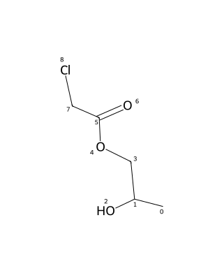 CC(O)COC(=O)CCl